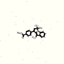 COC(=O)c1ccc(C2=CC(O)(C(F)(F)F)n3c2c(C)c2ccccc23)cc1